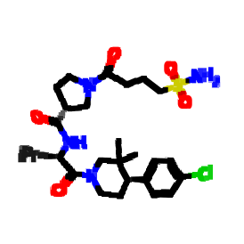 CC(C)[C@@H](NC(=O)[C@@H]1CCN(C(=O)CCCS(N)(=O)=O)C1)C(=O)N1CC[C@H](c2ccc(Cl)cc2)C(C)(C)C1